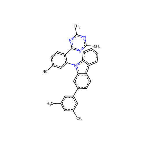 Cc1cc(-c2ccc3c4ccccc4n(-c4cc(C#N)ccc4-c4nc(C)nc(C)n4)c3c2)cc(C(F)(F)F)c1